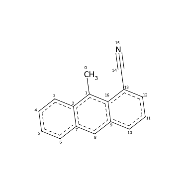 Cc1c2ccccc2cc2cccc(C#N)c12